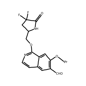 CC(C)Oc1cc2c(OCC3CC(F)(F)C(=O)N3)nccc2cc1C=O